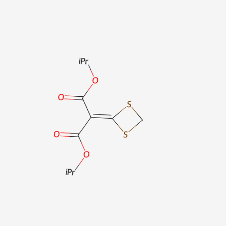 CC(C)OC(=O)C(C(=O)OC(C)C)=C1SCS1